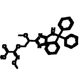 CON=C(OCC(OC)c1nsc(NC(c2ccccc2)(c2ccccc2)c2ccccc2)n1)C(=O)O